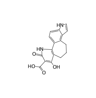 O=C(O)c1c(O)c2c([nH]c1=O)-c1ccc3[nH]ccc3c1CCC2